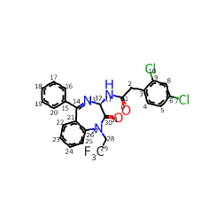 O=C(Cc1ccc(Cl)cc1Cl)N[C@@H]1N=C(c2ccccc2)c2ccccc2N(CC(F)(F)F)C1=O